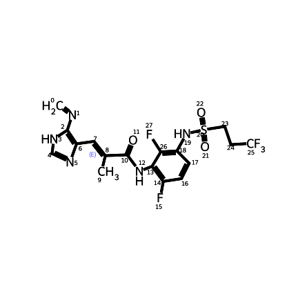 C=Nc1[nH]cnc1/C=C(\C)C(=O)Nc1c(F)ccc(NS(=O)(=O)CCC(F)(F)F)c1F